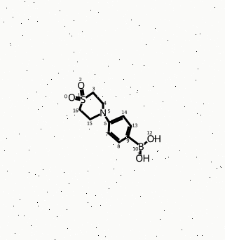 O=S1(=O)CCN(c2ccc(B(O)O)cc2)CC1